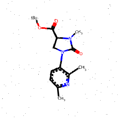 Cc1ccc(N2CC(C(=O)OC(C)(C)C)N(C)C2=O)c(C)n1